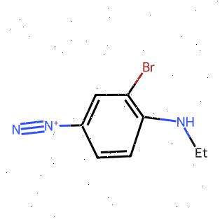 CCNc1ccc([N+]#N)cc1Br